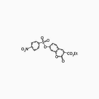 CCOC(=O)c1cc2ccc(OS(=O)(=O)c3ccc([N+](=O)[O-])cc3)cc2oc1=O